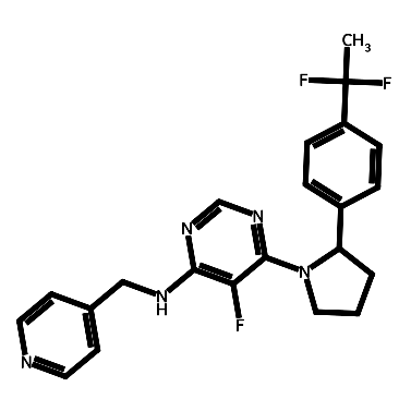 CC(F)(F)c1ccc(C2CCCN2c2ncnc(NCc3ccncc3)c2F)cc1